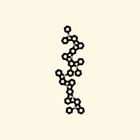 c1ccc(-n2c3ccccc3c3c2ccc2c4cccc5c6cc7c(cc6n(c54)c23)c2cccc3c4cc(-c5cccc(-n6c8ccccc8c8ccc9c(c%10cccc%11c%12cc%13c(cc%12n9c%11%10)c9cccc%10c%11c%12c(ccc%11n%13c9%10)c9ccccc9n%12-c9ccccc9)c86)c5)c5c(c6ccccc6n5-c5ccccc5)c4n7c23)cc1